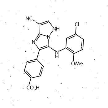 COc1ccc(Cl)cc1Nc1c(-c2ccc(C(=O)O)cc2)nc2c(C#N)c[nH]n12